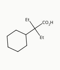 CCC(CC)(C(=O)O)C1CCCCC1